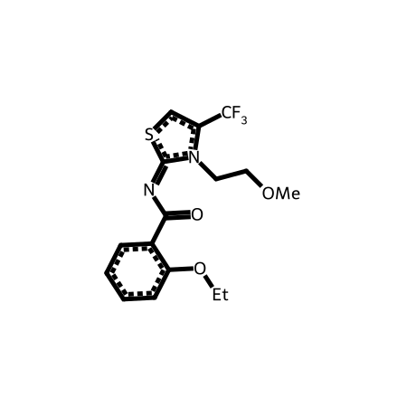 CCOc1ccccc1C(=O)N=c1scc(C(F)(F)F)n1CCOC